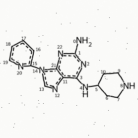 Nc1nc(NC2CCNCC2)c2ncn(-c3ccccn3)c2n1